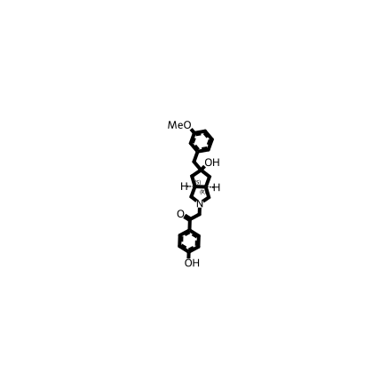 COc1cccc(CC2(O)C[C@H]3CN(CC(=O)c4ccc(O)cc4)C[C@H]3C2)c1